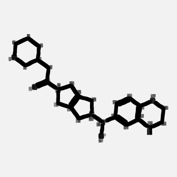 O=C(CC1CCCOC1)N1CC2=C(C1)CN([S+]([O-])c1ccc3c(c1)NCCO3)C2